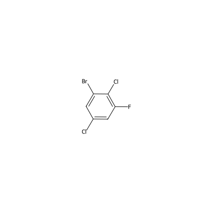 Fc1cc(Cl)cc(Br)c1Cl